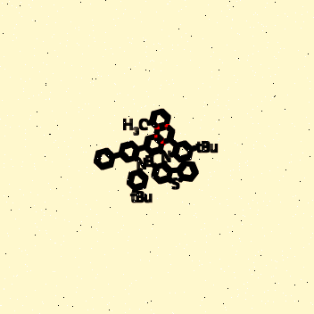 Cc1ccccc1-c1cc2c3c(c1)N(c1ccc(C(C)(C)C)cc1-c1ccccc1)c1c(ccc4sc5ccccc5c14)B3N(c1ccc(C(C)(C)C)cc1)c1cc(-c3ccccc3)ccc1-2